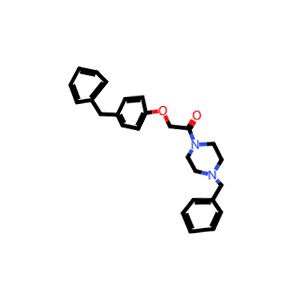 O=C(COc1ccc(Cc2ccccc2)cc1)N1CCN(Cc2ccccc2)CC1